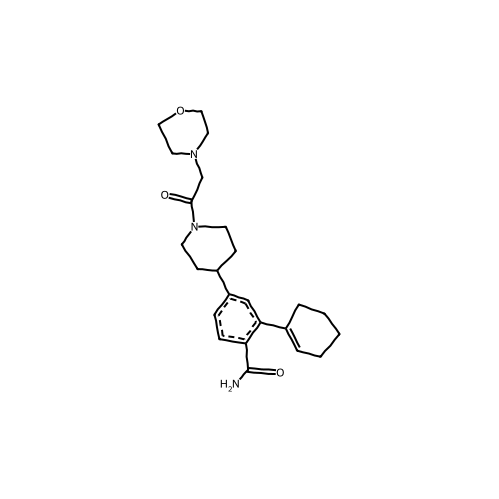 NC(=O)c1ccc(C2CCN(C(=O)CN3CCOCC3)CC2)cc1C1=CCCCC1